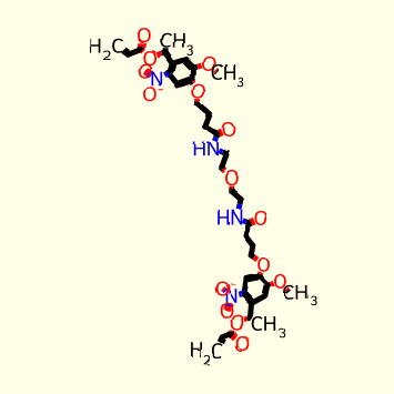 C=CC(=O)OC(C)c1cc(OC)c(OCCCC(=O)NCCOCCNC(=O)CCCOc2cc([N+](=O)[O-])c(C(C)OC(=O)C=C)cc2OC)cc1[N+](=O)[O-]